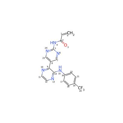 C=CC(=O)Nc1ncc(-c2nccnc2Nc2ccc(C(F)(F)F)cc2)cn1